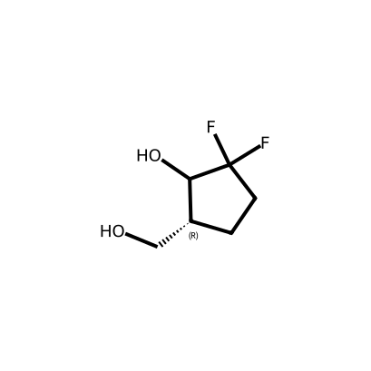 OC[C@H]1CCC(F)(F)C1O